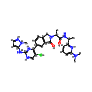 CC(NC(=O)C(C)N1Cc2ccc(-c3nc(Nc4ccnn4C)ncc3Cl)cc2C1=O)c1cccc(N(C)C)n1